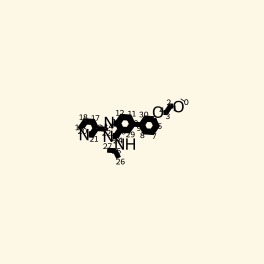 COCCOc1cccc(-c2ccc3nc(-c4cccnc4)nc(NC(C)C)c3c2)c1